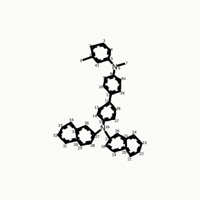 Cc1cccc(N(C)c2ccc(-c3ccc(N(c4ccc5ccccc5c4)c4ccc5ccccc5c4)cc3)cc2)c1